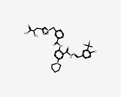 NC(Cc1cn(Cc2cccc(C(=O)Nc3ccc(N4CCCCC4)cc3C(=O)N/N=C/c3ccc(Cl)c(C(F)(F)F)c3)c2)nn1)C(=O)O